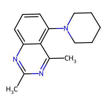 Cc1nc(C)c2c(N3CCCCC3)cccc2n1